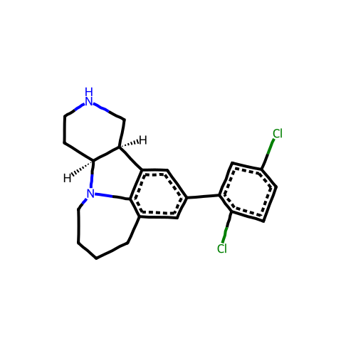 Clc1ccc(Cl)c(-c2cc3c4c(c2)[C@@H]2CNCC[C@@H]2N4CCCC3)c1